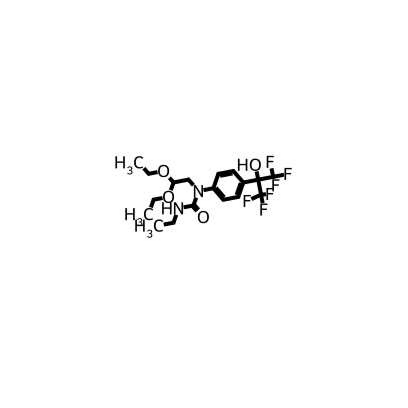 CCNC(=O)N(CC(OCC)OCC)c1ccc(C(O)(C(F)(F)F)C(F)(F)F)cc1